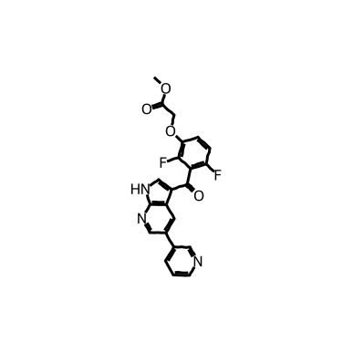 COC(=O)COc1ccc(F)c(C(=O)c2c[nH]c3ncc(-c4cccnc4)cc23)c1F